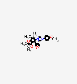 COc1ccc(N2CCN(c3c(C)c(C)c4c(c3-c3ccoc3)C(=O)C(C)(C)O4)CC2)cc1